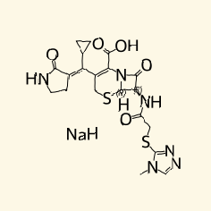 Cn1cnnc1SCC(=O)N[C@@H]1C(=O)N2C(C(=O)O)=C(C(=C3CCNC3=O)C3CC3)CS[C@H]12.[NaH]